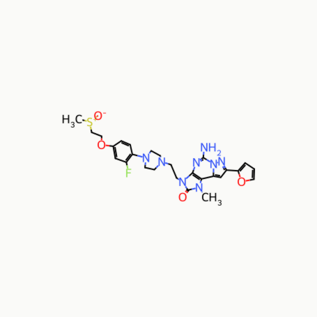 Cn1c(=O)n(CCN2CCN(c3ccc(OCC[S+](C)[O-])cc3F)CC2)c2nc(N)n3nc(-c4ccco4)cc3c21